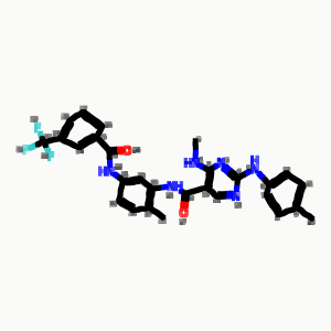 CNc1nc(Nc2ccc(C)cc2)ncc1C(=O)Nc1cc(NC(=O)c2cccc(C(F)(F)F)c2)ccc1C